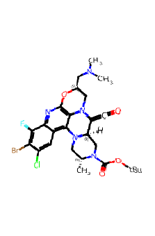 C[C@@H]1CN2c3c4c(nc5c(F)c(Br)c(Cl)cc35)O[C@@H](CN(C)C)CN4C(=C=O)[C@H]2CN1C(=O)OC(C)(C)C